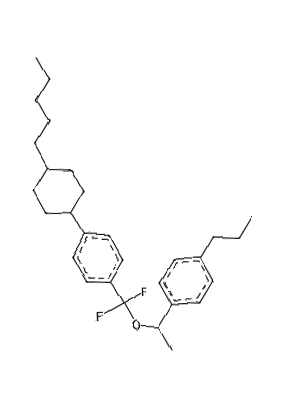 CCCCCC1CCC(c2ccc(C(F)(F)OC(C)c3ccc(CCC)cc3)cc2)CC1